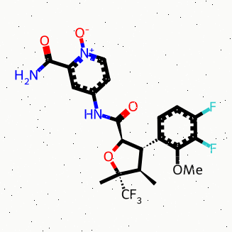 COc1c([C@@H]2[C@@H](C)[C@](C)(C(F)(F)F)O[C@H]2C(=O)Nc2cc[n+]([O-])c(C(N)=O)c2)ccc(F)c1F